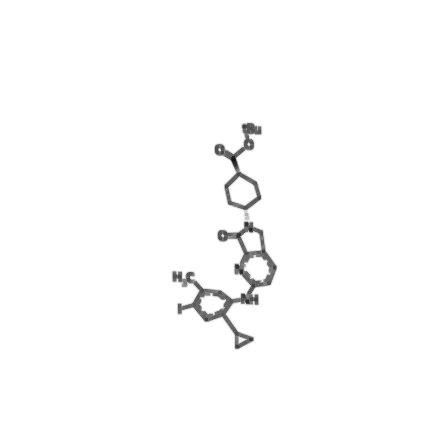 Cc1cc(Nc2ccc3c(n2)C(=O)N([C@H]2CC[C@H](C(=O)OC(C)(C)C)CC2)C3)c(C2CC2)cc1I